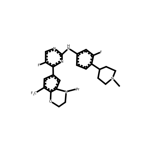 CC(C)N1CCOc2c1cc(-c1nc(Nc3ccc(C4CCN(C)CC4)c(F)c3)ncc1F)cc2C(F)(F)F